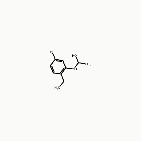 CCc1ccc(Cl)cc1NC(C)O